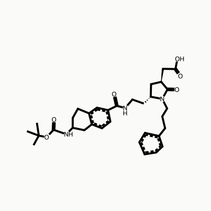 CC(C)(C)OC(=O)NC1CCc2cc(C(=O)NCC[C@@H]3C[C@@H](CC(=O)O)C(=O)N3CCCc3ccccc3)ccc2C1